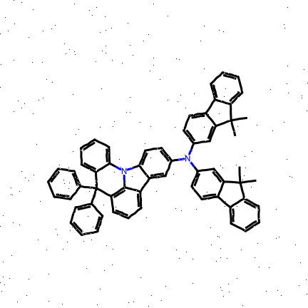 CC1(C)c2ccccc2-c2ccc(N(c3ccc4c(c3)C(C)(C)c3ccccc3-4)c3ccc4c(c3)c3cccc5c3n4-c3ccccc3C5(c3ccccc3)c3ccccc3)cc21